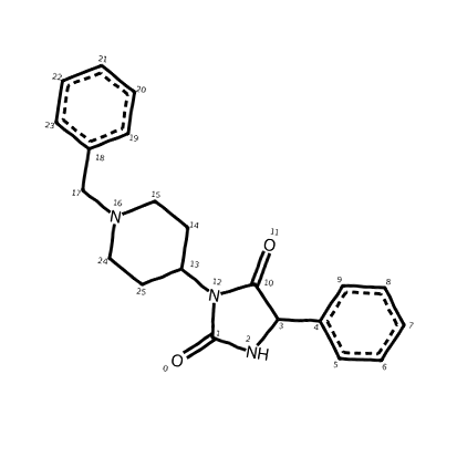 O=C1NC(c2ccccc2)C(=O)N1C1CCN(Cc2ccccc2)CC1